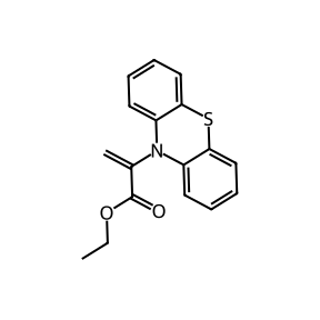 C=C(C(=O)OCC)N1c2ccccc2Sc2ccccc21